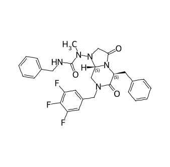 CN(C(=O)NCc1ccccc1)N1CC(=O)N2[C@@H](Cc3ccccc3)C(=O)N(Cc3cc(F)c(F)c(F)c3)C[C@@H]21